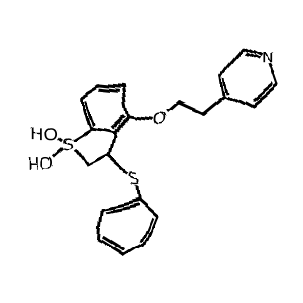 OS1(O)CC(Sc2ccccc2)c2c(OCCc3ccncc3)cccc21